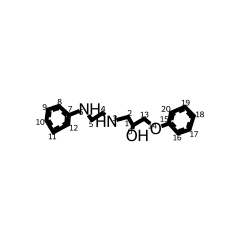 OC(CNCCNc1ccccc1)COc1ccccc1